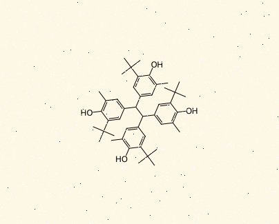 Cc1cc(C(c2cc(C)c(O)c(C(C)(C)C)c2)C(c2cc(C)c(O)c(C(C)(C)C)c2)c2cc(C)c(O)c(C(C)(C)C)c2)cc(C(C)(C)C)c1O